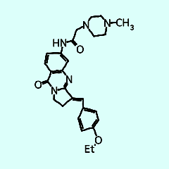 CCOc1ccc(C=C2CCn3c2nc2cc(NC(=O)CN4CCN(C)CC4)ccc2c3=O)cc1